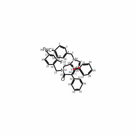 N#Cc1ccc(Cn2cnnc2CN(Cc2ccc(F)cc2F)C(=O)/C(=C/c2ccccc2)c2ccccc2)cc1